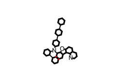 c1ccc(-c2ccc(-c3ccc(N(c4ccccc4-c4ccccc4)c4cccc5c4oc4ccc6cccnc6c45)cc3)cc2)cc1